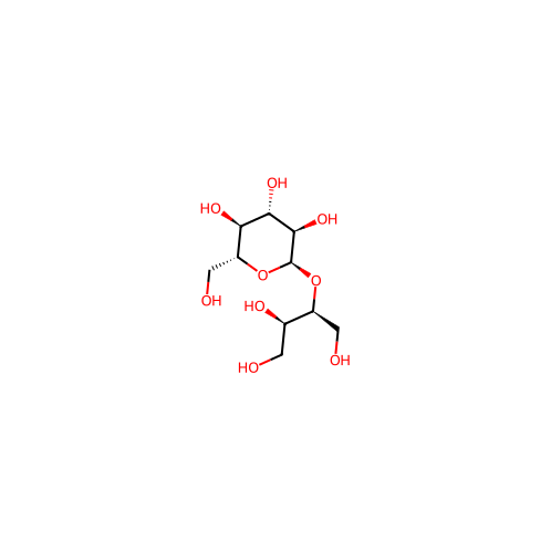 OC[C@@H](O)[C@H](CO)O[C@H]1O[C@H](CO)[C@@H](O)[C@H](O)[C@H]1O